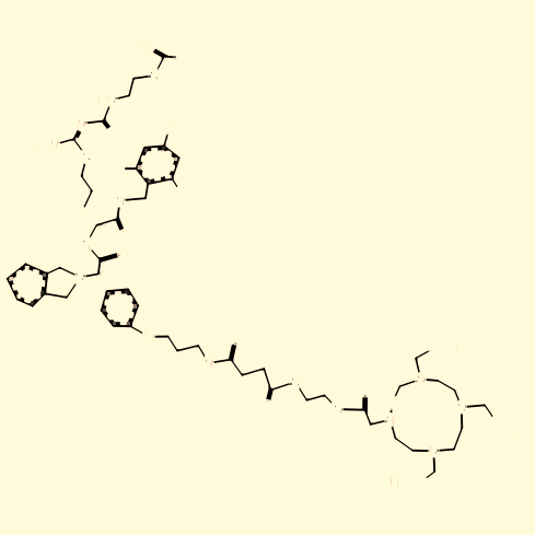 CCC(=O)NCCNC(=O)/N=C(/N)NCCC[C@@H](NC(=O)[C@H](c1ccc(OCCCNC(=O)CCC(=O)NCCNC(=O)CN2CCN(CC(=O)O)CCN(CC(=O)O)CCN(CC(=O)O)CC2)cc1)N1Cc2ccccc2C1)C(=O)NCc1c(F)cc(O)cc1F